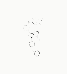 CC(C)(C=C(C#N)C(=O)N1CCCC(n2nc(-c3ccc(Oc4ccccc4)cc3F)c3c(N)ncnc32)C1)NC1CC1